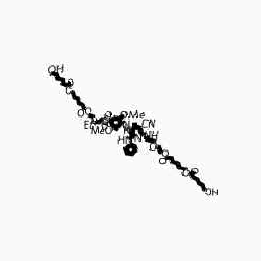 CCN(CCOC(=O)CCCCCOC(=O)CCCCCO)CCS(=O)(=O)c1cc(OC)c(/N=N/c2c(Nc3ccccc3)nc(NCCOCCOC(=O)CCCCCOC(=O)CCCCCO)c(C#N)c2C)cc1OC